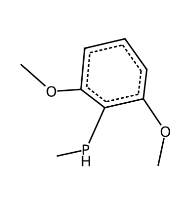 COc1cccc(OC)c1PC